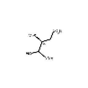 CNC(O)[C@H](CC(=O)O)SC